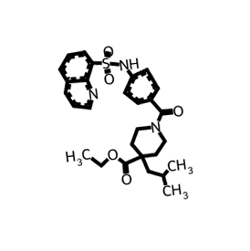 CCOC(=O)C1(CC(C)C)CCN(C(=O)c2ccc(NS(=O)(=O)c3cccc4cccnc34)cc2)CC1